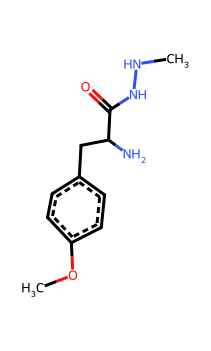 CNNC(=O)C(N)Cc1ccc(OC)cc1